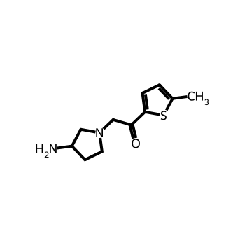 Cc1ccc(C(=O)CN2CCC(N)C2)s1